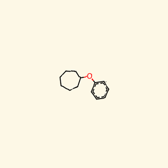 [c]1ccccc1OC1CCCCCC1